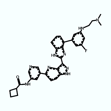 CN(C)CCNc1cc(F)cc(-c2cccc3[nH]c(-c4n[nH]c5ccc(-c6cncc(NC(=O)C7CCC7)c6)nc45)nc23)c1